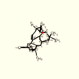 C=C1[C@H]2CC[C@@]34C(C2)[C@@]25CCC[C@@](C)(COS(=O)OC2)C5C[C@H]3OC(C)(C)O[C@@H]14